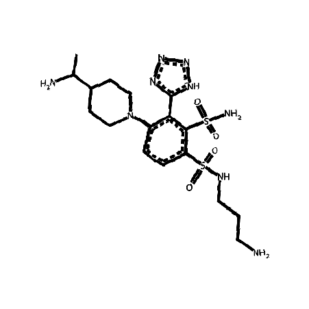 CC(N)C1CCN(c2ccc(S(=O)(=O)NCCCN)c(S(N)(=O)=O)c2-c2nnn[nH]2)CC1